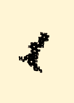 COc1ccc(OC)c(S(=O)(=O)N2CCc3c(ccnc3Nc3cnc4ccccc4c3)C2)c1